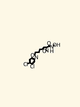 O=C(NO)c1cc(CCCc2nc3cc(Cl)c(Cl)cc3o2)on1